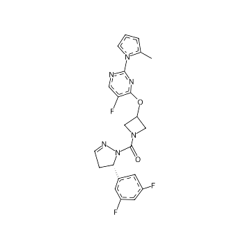 Cc1cccn1-c1ncc(F)c(OC2CN(C(=O)N3N=CC[C@H]3c3cc(F)cc(F)c3)C2)n1